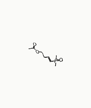 CC(=O)OCC/C=C/P(C)(C)=O